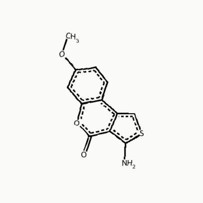 COc1ccc2c(c1)oc(=O)c1c(N)scc12